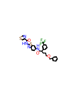 O=C(Nc1nc2ccc(NC(=O)C(CCCOCc3ccccc3)c3cccc(C(F)(F)F)c3)cc2s1)c1cscn1